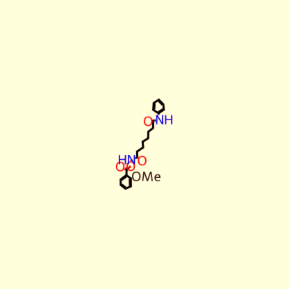 COc1ccccc1C(=O)ONC(=O)CCCCCCC(=O)Nc1ccccc1